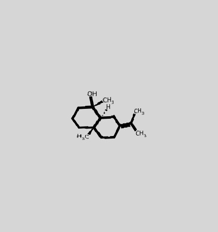 CC(C)=C1CC[C@]2(C)CCC[C@](C)(O)[C@H]2C1